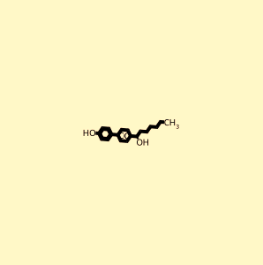 CCCCCC[C@@H](O)C12CCC(c3ccc(O)cc3)(CC1)CC2